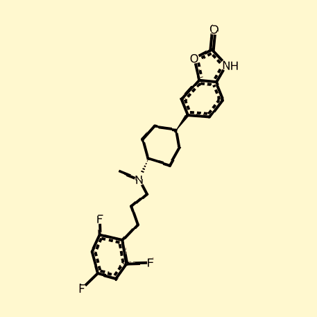 CN(CCCc1c(F)cc(F)cc1F)[C@H]1CC[C@H](c2ccc3[nH]c(=O)oc3c2)CC1